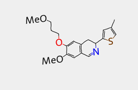 COCCCOc1cc2c(cc1OC)C=NC(c1cc(C)cs1)C2